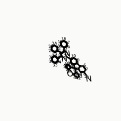 N#CC1=CC2C(C=C1)c1ccc(-c3nc(-c4ccccc4)c(-c4ccccc4)c(-c4ccccc4)n3)cc1C21C2=C(CCC=C2)Oc2ccccc21